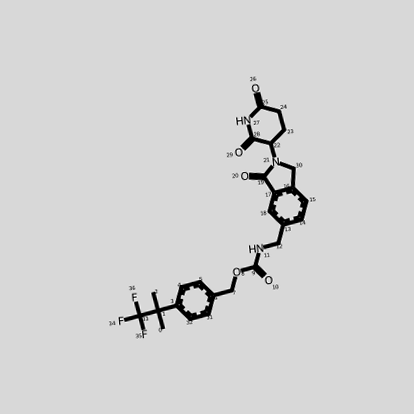 CC(C)(c1ccc(COC(=O)NCc2ccc3c(c2)C(=O)N(C2CCC(=O)NC2=O)C3)cc1)C(F)(F)F